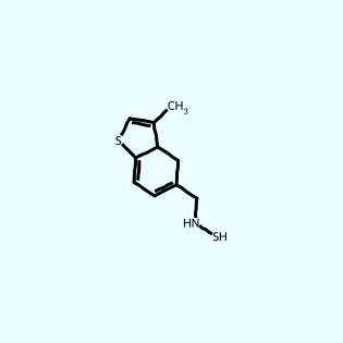 CC1=CSC2=CC=C(CNS)CC12